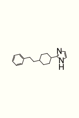 c1ccc(CCC2CCC(c3ncc[nH]3)CC2)cc1